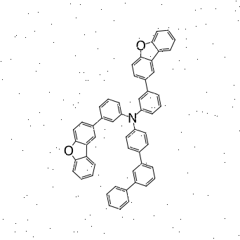 c1ccc(-c2cccc(-c3ccc(N(c4cccc(-c5ccc6oc7ccccc7c6c5)c4)c4cccc(-c5ccc6oc7ccccc7c6c5)c4)cc3)c2)cc1